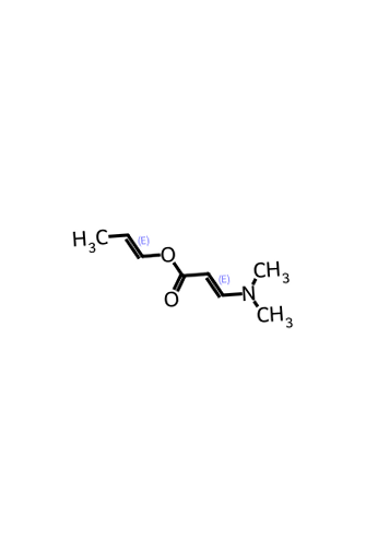 C/C=C/OC(=O)/C=C/N(C)C